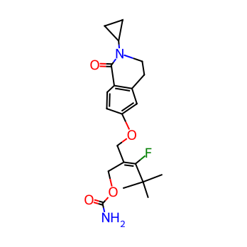 CC(C)(C)C(F)=C(COC(N)=O)COc1ccc2c(c1)CCN(C1CC1)C2=O